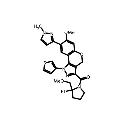 CCC1(COC)CCCN1C(=O)c1nn(-c2ccsc2)c2c1COc1cc(OC)c(-c3ccn(C)n3)cc1-2